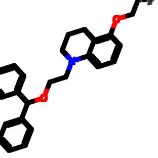 O=C(O)COc1cccc2c1CCCN2CCOC(c1ccccc1)c1ccccc1